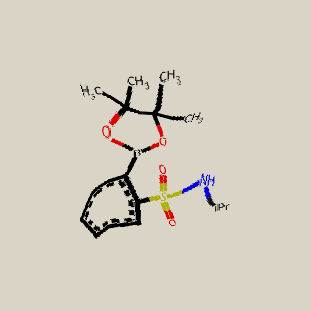 CC(C)NS(=O)(=O)c1ccccc1B1OC(C)(C)C(C)(C)O1